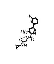 O=C(CNC(=O)c1ncc(-c2cccc(F)c2)cc1O)NC1CC1